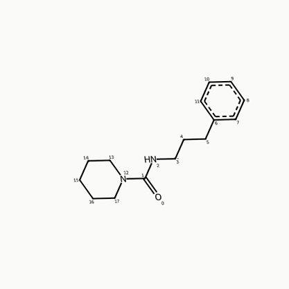 O=C(N[CH]CCc1ccccc1)N1CCCCC1